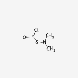 CN(C)SC(=O)Cl